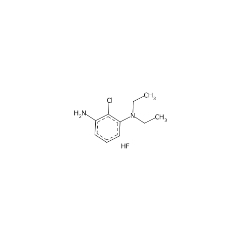 CCN(CC)c1cccc(N)c1Cl.F